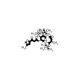 Cc1cc(C(=O)CC(=O)C[C@H]2CO[C@@H](C[C@@H]3O[C@H]3[C@H](C)[C@H](C)O[Si](C)(C)C)[C@@H](O[Si](C)(C)C)[C@@H]2O[Si](C)(C)C)on1